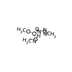 CCc1ncsc1-c1cc(C(=O)NCc2cnc(C)cn2)cc(-c2ccc(C)cc2)c1